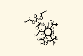 CCOP(=O)(OCC)C(=O)Nc1c(C(F)F)nc(C(F)(F)F)c(C(=O)O)c1CC